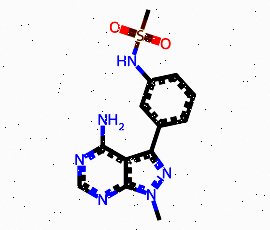 Cn1nc(-c2cccc(NS(C)(=O)=O)c2)c2c(N)ncnc21